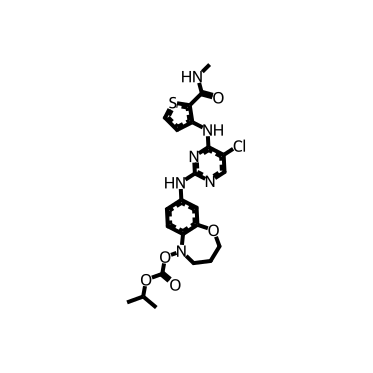 CNC(=O)c1sccc1Nc1nc(Nc2ccc3c(c2)OCCCN3OC(=O)OC(C)C)ncc1Cl